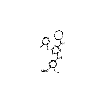 COc1ccc(Nc2nc(NC3CCCCCC3)nc(Oc3ccccc3F)n2)cc1CI